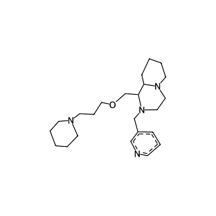 c1cncc(CN2CCN3CCCCC3C2COCCCN2CCCCC2)c1